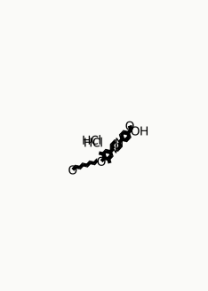 COCCCCCCCOc1c(C)cc(N2CCN(c3ccc(C(=O)O)cc3)CC2)cc1C.Cl.Cl